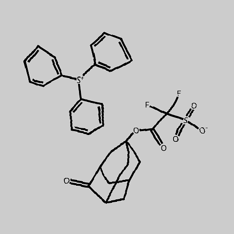 O=C1C2CC3CC1CC(OC(=O)C(F)(F)S(=O)(=O)[O-])(C3)C2.c1ccc([S+](c2ccccc2)c2ccccc2)cc1